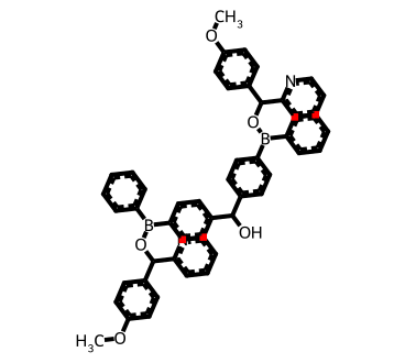 COc1ccc(C(OB(c2ccccc2)c2ccc(C(O)c3ccc(B(OC(c4ccc(OC)cc4)c4ccccn4)c4ccccc4)cc3)cc2)c2ccccn2)cc1